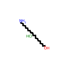 Cl.NCCCCCCCCC=CCCCCCCCCCCO